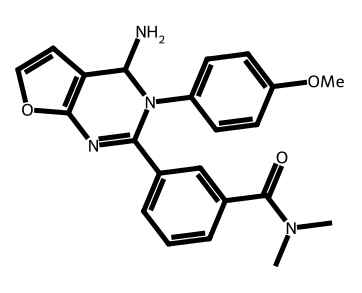 COc1ccc(N2C(c3cccc(C(=O)N(C)C)c3)=Nc3occc3C2N)cc1